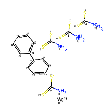 NC(=S)[S-].NC(=S)[S-].NC(=S)[S-].NC(=S)[S-].[Mo+4].c1ccc(-c2ccccc2)cc1